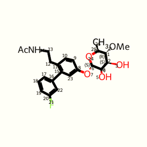 CO[C@@H]1[C@@H](O)[C@@H](O)[C@H](Oc2ccc(CCNC(C)=O)c(-c3cccc(F)c3)c2)O[C@H]1C